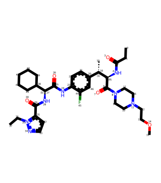 CCC(=O)N[C@@H](C(=O)N1CCN(CCOC)CC1)[C@@H](C)c1ccc(NC(=O)[C@@H](NC(=O)c2ccnn2CC)C2CCCCC2)c(F)c1